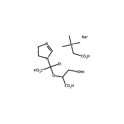 CCCCCCCCCCCC(OC(CC)(C(=O)O)N1C=NCC1)C(=O)O.C[N+](C)(C)CC(=O)O.[Na+]